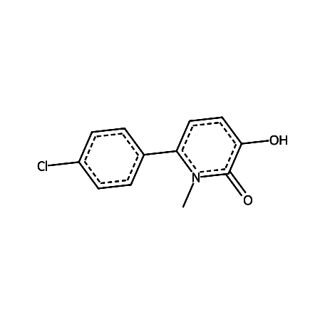 Cn1c(-c2ccc(Cl)cc2)ccc(O)c1=O